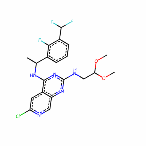 COC(CNc1nc(NC(C)c2cccc(C(F)F)c2F)c2cc(Cl)ncc2n1)OC